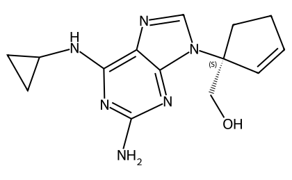 Nc1nc(NC2CC2)c2ncn([C@]3(CO)C=CCC3)c2n1